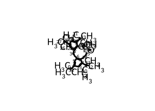 CC(C)(C)c1cc2c(c(C(C)(C)C)c1)CCP(=O)(O)Oc1c(cc(C(C)(C)C)cc1C(C)(C)C)C2